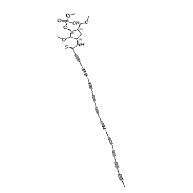 CC#CC#CC#CC#CC#CC#CC#CC#CC#CC#CC(=S)N[C@@H]1C[C@H](COC)[C@H](OP(=O)(O)OC)C1OC